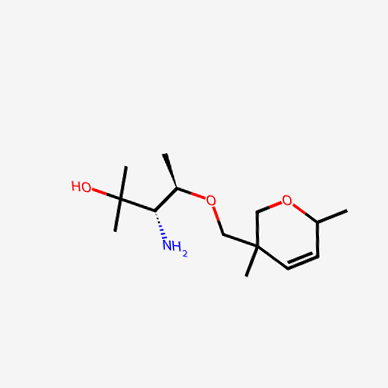 CC1C=CC(C)(CO[C@H](C)[C@H](N)C(C)(C)O)CO1